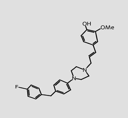 COc1cc(C=CCN2CCN(c3ccc(Cc4ccc(F)cc4)cc3)CC2)ccc1O